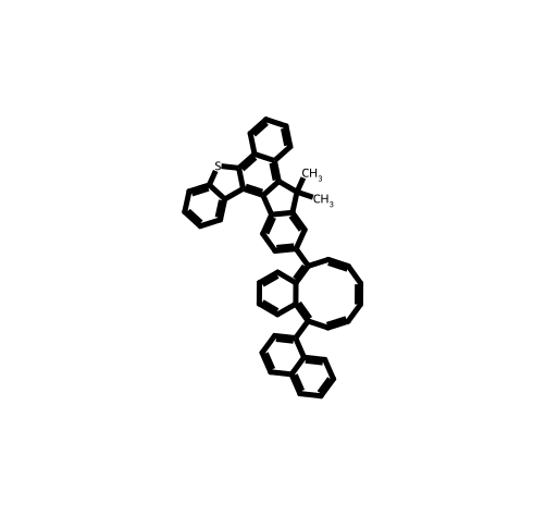 CC1(C)c2cc(-c3ccccccc(-c4cccc5ccccc45)c4ccccc34)ccc2-c2c1c1ccccc1c1sc3ccccc3c21